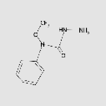 NNC(=O)N(OC(F)(F)F)c1ccccc1